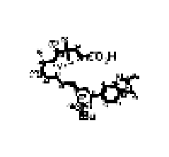 Cc1nc2cc([C@H](C/C=C/CCC[C@H](C)[C@H](C)[C@@H](C)C(=O)C(C)(C)/C=C/C(=O)O)O[Si](C)(C)C(C)(C)C)ccc2n1C